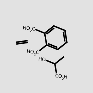 C=C.CC(O)C(=O)O.O=C(O)c1ccccc1C(=O)O